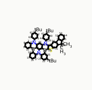 CC(C)(C)c1ccc(N2c3ccccc3B3c4ccccc4N4c5ccc(C(C)(C)C)cc5B5c6sc7cc8c(cc7c6N(c6ccc(C(C)(C)C)cc6)c6cc2c3c4c65)-c2ccccc2C8(C)C)cc1